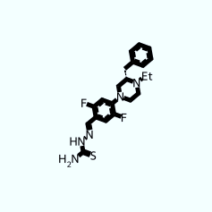 CCN1CCN(c2cc(F)c(C=NNC(N)=S)cc2F)C[C@@H]1Cc1ccccc1